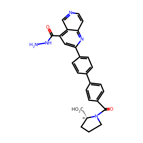 NNC(=O)c1cc(-c2ccc(-c3ccc(C(=O)N4CCC[C@@H]4C(=O)O)cc3)cc2)nc2ccncc12